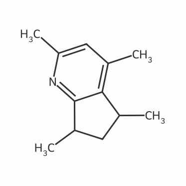 Cc1cc(C)c2c(n1)C(C)CC2C